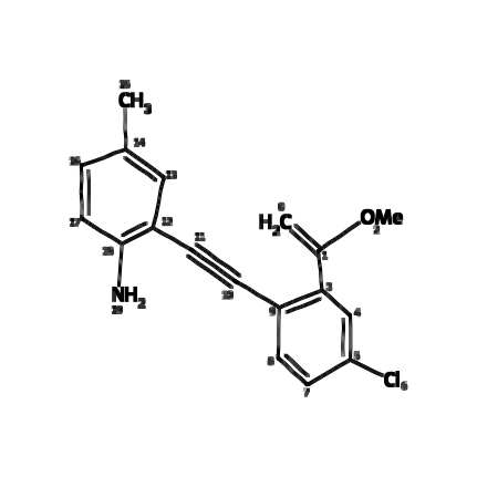 C=C(OC)c1cc(Cl)ccc1C#Cc1cc(C)ccc1N